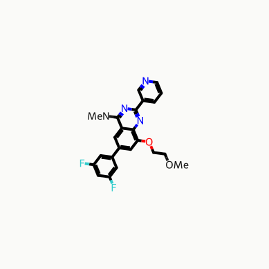 CNc1nc(-c2cccnc2)nc2c(OCCOC)cc(-c3cc(F)cc(F)c3)cc12